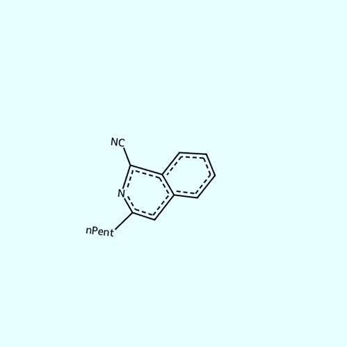 CCCCCc1cc2ccccc2c(C#N)n1